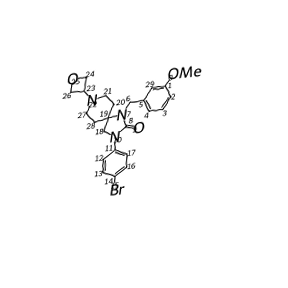 COc1cccc(CN2C(=O)N(c3ccc(Br)cc3)CC23CCN(C2COC2)CC3)c1